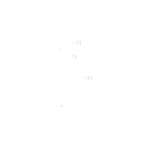 CCOC(=O)/C=C1/CN(C(=O)O)CCC1O